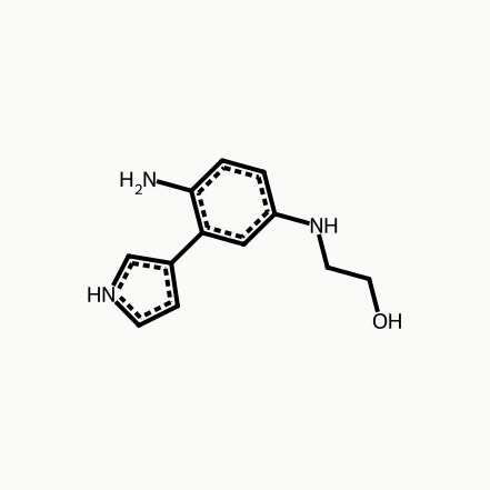 Nc1ccc(NCCO)cc1-c1cc[nH]c1